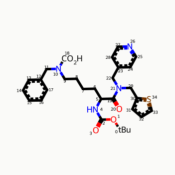 CC(C)(C)OC(=O)NC(CCCCN(Cc1ccccc1)C(=O)O)C(=O)N(Cc1ccncc1)Cc1cccs1